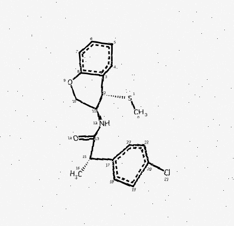 CS[C@H]1c2ccccc2OC[C@@H]1NC(=O)[C@@H](C)c1ccc(Cl)cc1